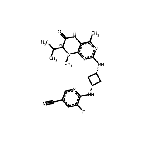 Cc1nc(N[C@H]2C[C@@H](Nc3ncc(C#N)cc3F)C2)nc2c1NC(=O)[C@H](C(C)C)N2C